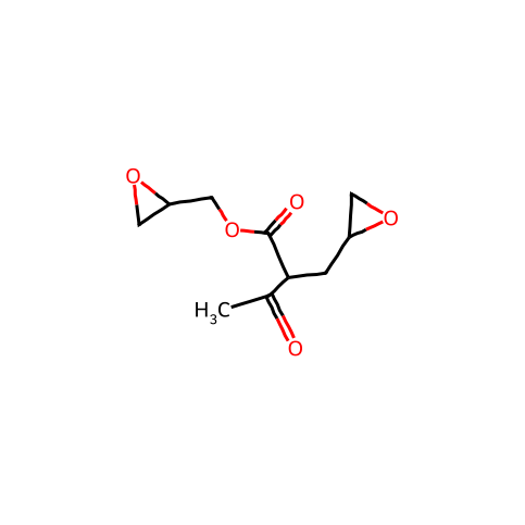 CC(=O)C(CC1CO1)C(=O)OCC1CO1